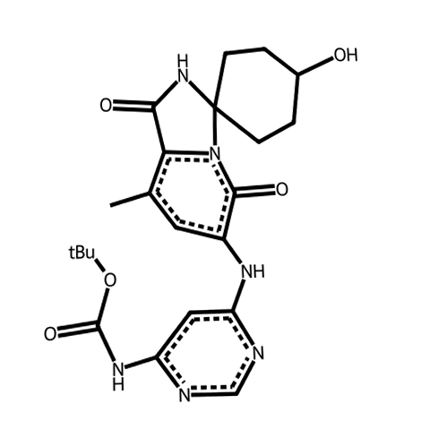 Cc1cc(Nc2cc(NC(=O)OC(C)(C)C)ncn2)c(=O)n2c1C(=O)NC21CCC(O)CC1